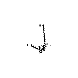 CCCCCCCCCCCCCCCCOC(C)c1ccc(C(=O)Oc2ccccc2C(CCC)CCCCCCCC)cc1